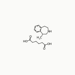 CC1CNCCc2ccccc21.O=C(O)CCCCC(=O)O